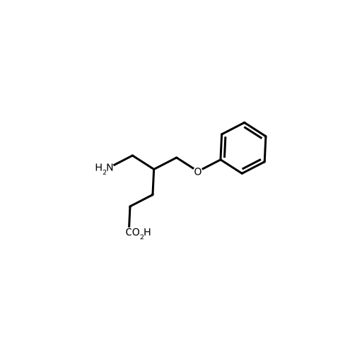 NCC(CCC(=O)O)COc1ccccc1